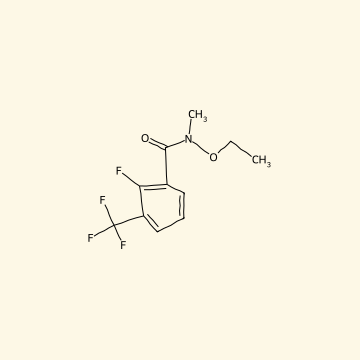 CCON(C)C(=O)c1cccc(C(F)(F)F)c1F